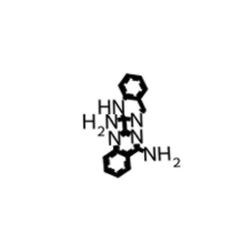 Nc1nc(C2(N)N=Cc3ccccc3N2)nc2ccccc12